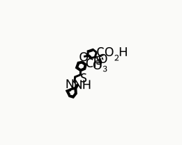 CC1=C(Oc2ccc(C(=S)Cc3nc4ccccc4[nH]3)cc2)C=CC(C(=O)O)C1=S(=O)=O